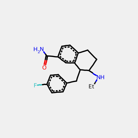 CCNC1CCc2ccc(C(N)=O)cc2C1Cc1ccc(F)cc1